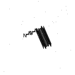 N#CC#N.N#CC#N.N#CC#N.N#CC#N.N#CC#N.N#CC#N.N#CC#N.N#CC#N.N#CC#N.N#CC#N.N#CC#N.N#CC#N.N#CC#N.N#CC#N.N#CC#N.N#CC#N.N#CC#N.N#CC#N